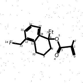 C=C(C)C(=O)OC1(CC)CCCc2c(CF)cccc21